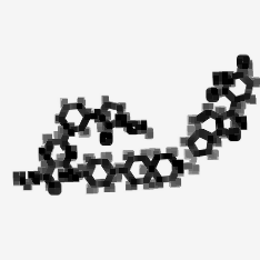 CN1CCN([C@@H]2CCCN(c3cnc(C(N)=O)c(Nc4ccc(C5CCC6(CC5)CCN(C[C@@H]5Cc7ccc8c(C9CCC(=O)NC9=O)noc8c7C5)CC6)cc4)n3)C2)C1=O